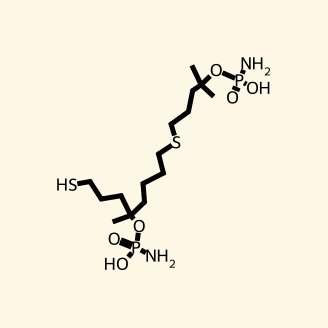 CC(C)(CCCSCCCCC(C)(CCCS)OP(N)(=O)O)OP(N)(=O)O